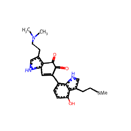 CNCCc1c[nH]c2c(C3=Cc4[nH]cc(CCN(C)C)c4C(=O)C3=O)ccc(O)c12